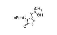 CCCCCC1C(=O)CCC1CC(C)O